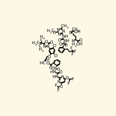 C#CCOc1cc(-n2nc(C(C)(C)C)oc2=O)c(Cl)cc1Cl.COc1nc(C)nc(NC(=O)NS(=O)(=O)c2ccccc2CCC(F)(F)F)n1.CP(=O)(O)CCC(N)C(=O)O.O=C(Nc1nc(OC(F)F)cc(OC(F)F)n1)NS(=O)(=O)c1ccccc1C(=O)O